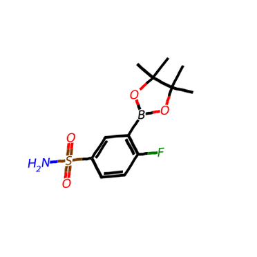 CC1(C)OB(c2cc(S(N)(=O)=O)ccc2F)OC1(C)C